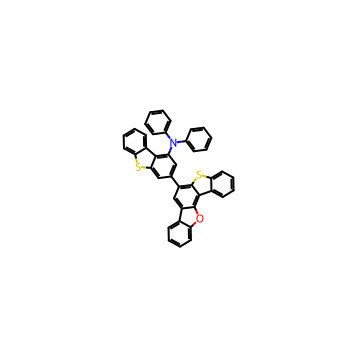 c1ccc(N(c2ccccc2)c2cc(-c3cc4c5ccccc5oc4c4c3sc3ccccc34)cc3sc4ccccc4c23)cc1